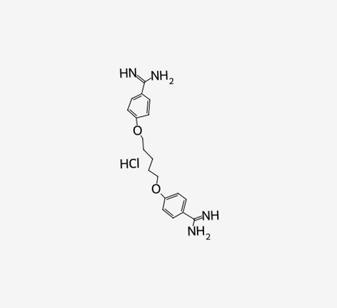 Cl.N=C(N)c1ccc(OCCCCCOc2ccc(C(=N)N)cc2)cc1